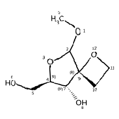 COC1O[C@H](CO)[C@@H](O)[C@]12CCO2